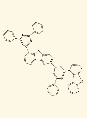 c1ccc(-c2nc(-c3ccccc3)nc(-c3cccc4c3sc3ccc(-c5nc(-c6ccccc6)nc(-c6cccc7oc8ccccc8c67)n5)cc34)n2)cc1